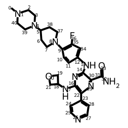 CN1CCN(C2CCN(c3ccc(Nc4nc(NC5COC5)c(-c5ccncc5)nc4C(N)=O)cc3F)CC2)CC1